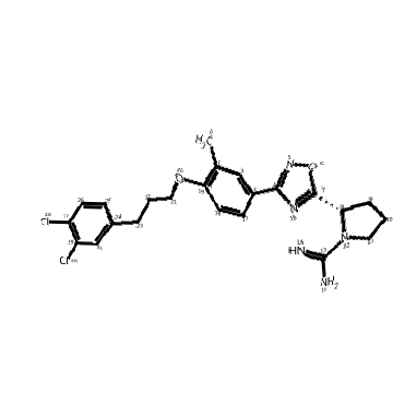 Cc1cc(-c2noc([C@@H]3CCCN3C(=N)N)n2)ccc1OCCCc1ccc(Cl)c(Cl)c1